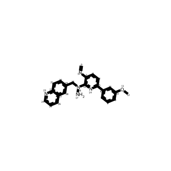 C=Nc1ccc(-c2cccc(OC)c2)nc1N(N)Cc1ccc2ncccc2c1